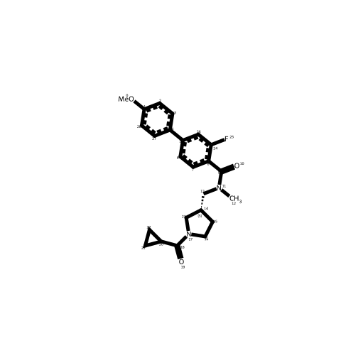 COc1ccc(-c2ccc(C(=O)N(C)C[C@@H]3CCN(C(=O)C4CC4)C3)c(F)c2)cc1